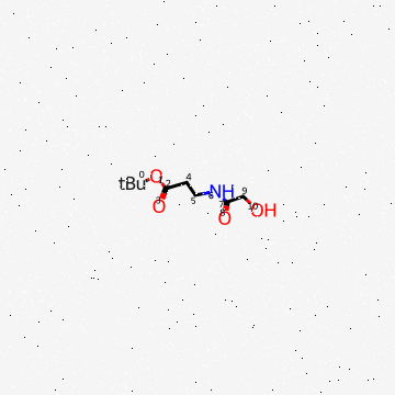 CC(C)(C)OC(=O)CCNC(=O)CO